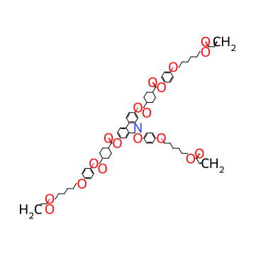 C=CC(=O)OCCCCCCOc1ccc(OC(=O)C2CCC(C(=O)Oc3ccc4c(c3)nc(Oc3ccc(OCCCCCCOC(=O)C=C)cc3)c3cc(OC(=O)C5CCC(C(=O)Oc6ccc(OCCCCCCOC(=O)C=C)cc6)CC5)ccc34)CC2)cc1